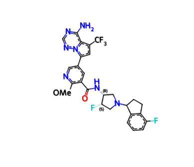 COc1ncc(-c2cc(C(F)(F)F)c3c(N)ncnn23)cc1C(=O)N[C@@H]1CN(C2CCc3c(F)cccc32)C[C@@H]1F